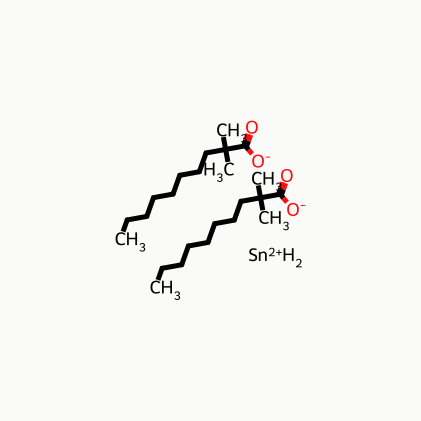 CCCCCCCCC(C)(C)C(=O)[O-].CCCCCCCCC(C)(C)C(=O)[O-].[SnH2+2]